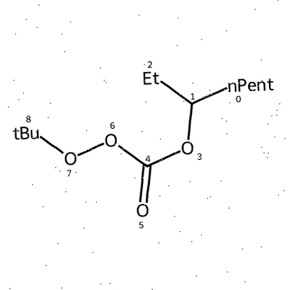 CCCCCC(CC)OC(=O)OOC(C)(C)C